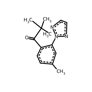 Cc1ccc(C(=O)C(C)(C)C)c(-n2nccn2)c1